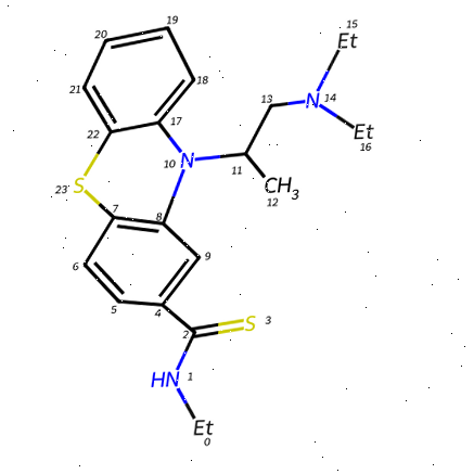 CCNC(=S)c1ccc2c(c1)N(C(C)CN(CC)CC)c1ccccc1S2